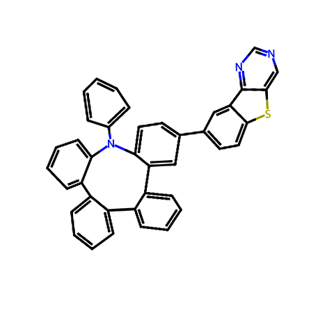 c1ccc(-n2c3ccccc3c3ccccc3c3ccccc3c3cc(-c4ccc5sc6cncnc6c5c4)ccc32)cc1